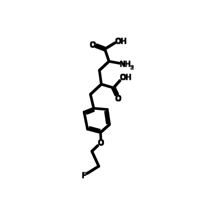 NC(CC(Cc1ccc(OCCF)cc1)C(=O)O)C(=O)O